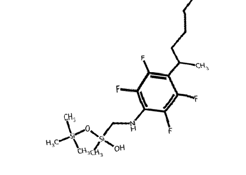 CCCCCC(C)c1c(F)c(F)c(NC[Si](C)(O)O[Si](C)(C)C)c(F)c1F